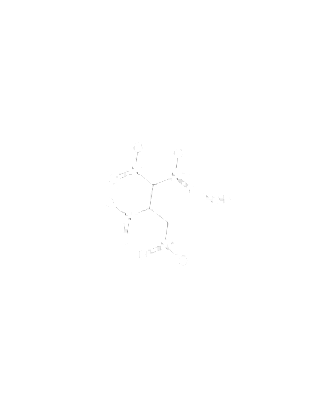 O=[N+]([O-])CC(C([N+](=O)[O-])[N+](=O)[O-])[N+](=O)[O-].[NaH]